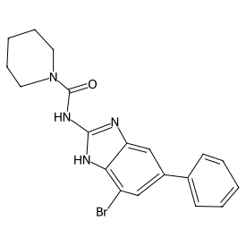 O=C(Nc1nc2cc(-c3ccccc3)cc(Br)c2[nH]1)N1CCCCC1